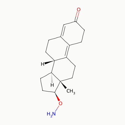 C[C@]12CCC3=C4CCC(=O)C=C4CC[C@H]3[C@@H]1CC[C@@H]2ON